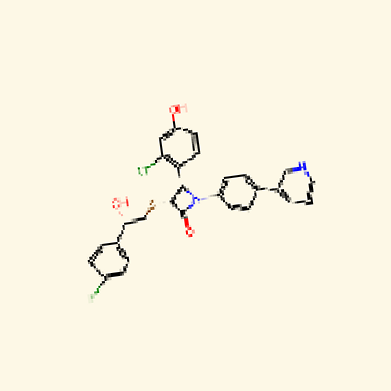 O=C1[C@H](SC[C@@H](O)c2ccc(F)cc2)[C@@H](c2ccc(O)cc2Cl)N1c1ccc(-c2cccnc2)cc1